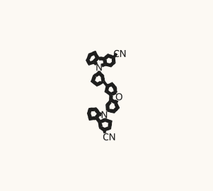 N#Cc1ccc2c(c1)c1ccccc1n2-c1cccc(-c2ccc3oc4ccc(-n5c6ccccc6c6cc(C#N)ccc65)cc4c3c2)c1